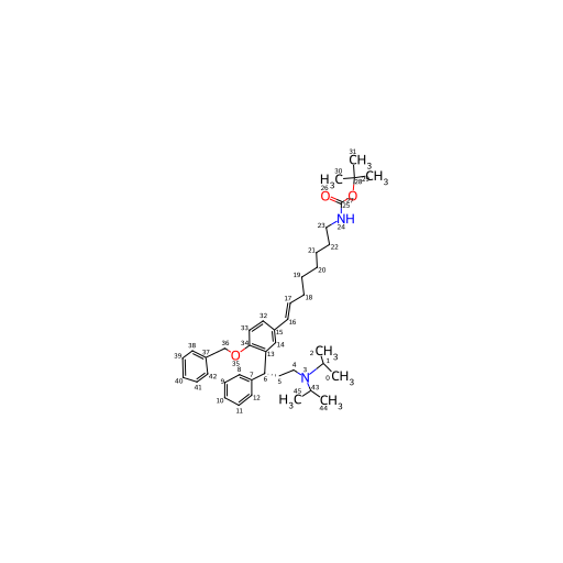 CC(C)N(CC[C@H](c1ccccc1)c1cc(/C=C/CCCCCCNC(=O)OC(C)(C)C)ccc1OCc1ccccc1)C(C)C